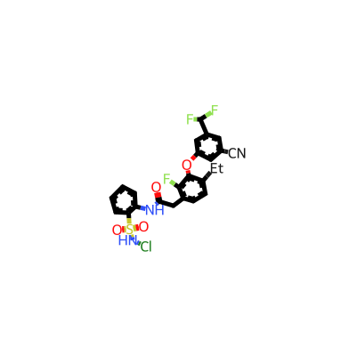 CCc1ccc(CC(=O)Nc2ccccc2S(=O)(=O)NCl)c(F)c1Oc1cc(C#N)cc(C(F)F)c1